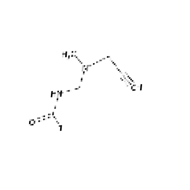 C#CCN(C)CNC(=O)I